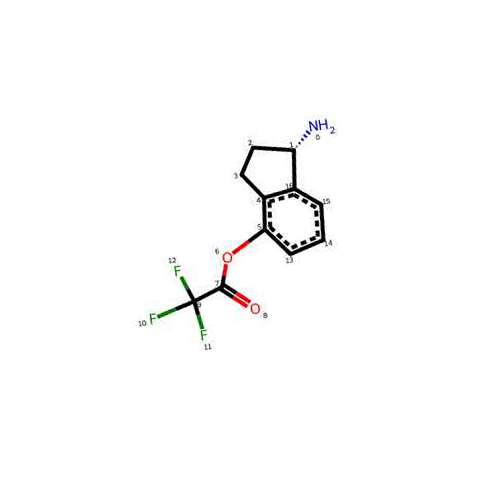 N[C@H]1CCc2c(OC(=O)C(F)(F)F)cccc21